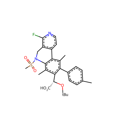 Cc1ccc(-c2c(C)c3c(c(C)c2[C@H](OC(C)(C)C)C(=O)O)N(S(C)(=O)=O)Cc2c-3ccnc2F)cc1